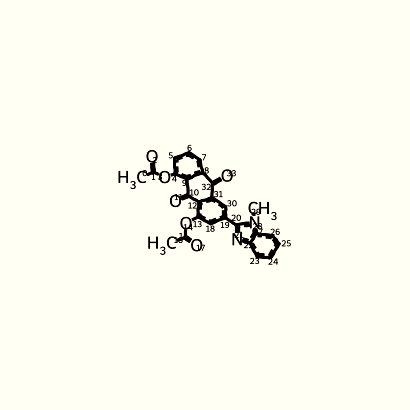 CC(=O)Oc1cccc2c1C(=O)c1c(OC(C)=O)cc(-c3nc4ccccc4n3C)cc1C2=O